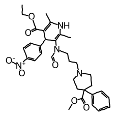 CCOC(=O)C1=C(C)NC(C)=C(N(C=O)CCCN2CCC(C(=O)OC)(c3ccccc3)CC2)C1c1ccc([N+](=O)[O-])cc1